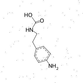 Nc1ccc(C[CH]NC(=O)O)cc1